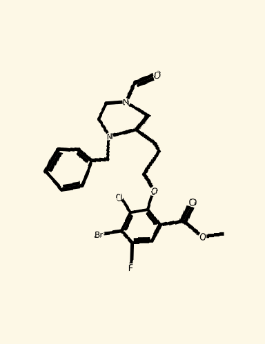 COC(=O)c1cc(F)c(Br)c(Cl)c1OCCC1CN(C=O)CCN1Cc1ccccc1